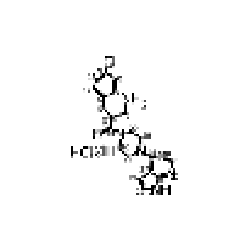 Cl.Cl.NC[C@H](Cc1ccc(Cl)cc1)C(=O)N1CCN(c2ncnc3[nH]ccc23)CC1